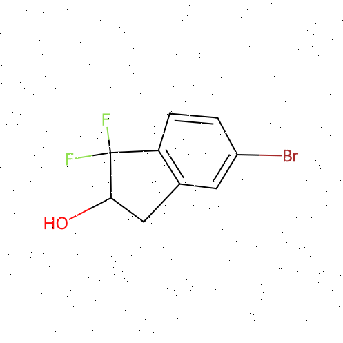 OC1Cc2cc(Br)ccc2C1(F)F